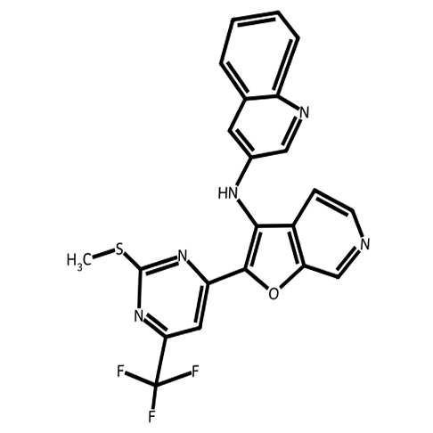 CSc1nc(-c2oc3cnccc3c2Nc2cnc3ccccc3c2)cc(C(F)(F)F)n1